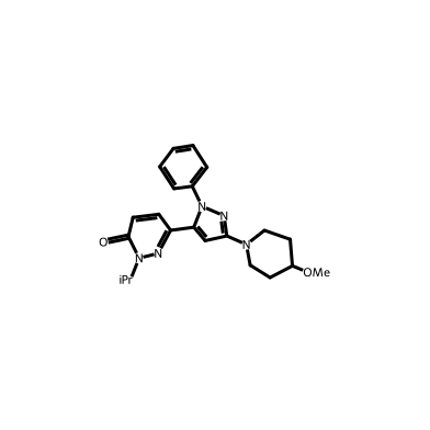 COC1CCN(c2cc(-c3ccc(=O)n(C(C)C)n3)n(-c3ccccc3)n2)CC1